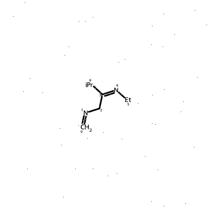 C=NC/C(=N\CC)C(C)C